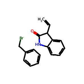 BrCc1ccccc1.C=CC1C(=O)Nc2ccccc21